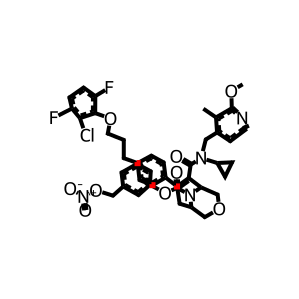 COc1nccc(CN(C(=O)C2=C(c3ccc(CCCOc4c(F)ccc(F)c4Cl)cc3)CC3COCC2N3C(=O)Oc2cccc(CO[N+](=O)[O-])c2)C2CC2)c1C